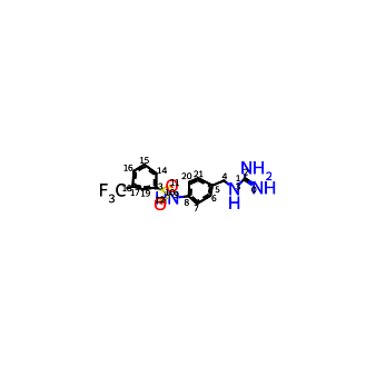 N=C(N)NCc1ccc(NS(=O)(=O)c2cccc(C(F)(F)F)c2)cc1